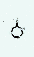 O=C1[C]SC=NCN1